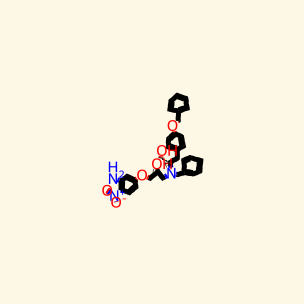 Nc1cc(OC[C@@H](O)CN(Cc2ccccc2)[C@H](CO)Cc2ccc(OCc3ccccc3)cc2)ccc1[N+](=O)[O-]